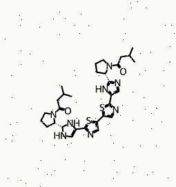 CC(C)CC(=O)N1CCC[C@H]1c1ncc(-c2ncc(-c3cnc(C4=CNC([C@@H]5CCCN5C(=O)CC(C)C)N4)s3)s2)[nH]1